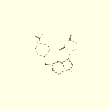 CC(=O)N1CCC(Cc2ccn3ncc(N4CCC(=O)NC4=O)c3c2)CC1